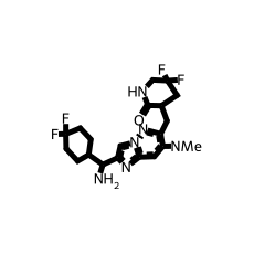 CNc1cc2nc(C(N)C3CCC(F)(F)CC3)cn2nc1CC1CC(F)(F)CNC1=O